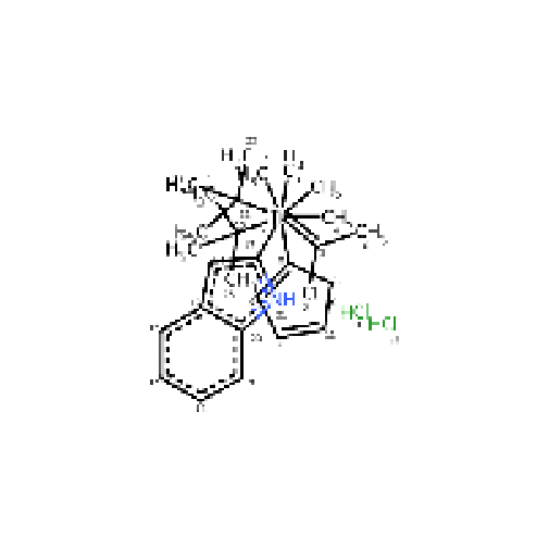 C[C](C)=[Ti]([CH3])([CH3])([CH3])([CH3])([C]1=CC=CC1)([c]1cc2ccccc2[nH]1)([C](C)(C)C)[C](C)(C)C.Cl.Cl